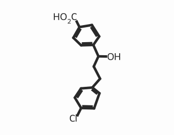 O=C(O)c1ccc(C(O)CCc2ccc(Cl)cc2)cc1